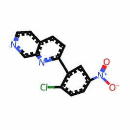 O=[N+]([O-])c1ccc(Cl)c(-c2ccc3ccncc3n2)c1